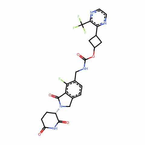 O=C1CC[C@H](N2Cc3ccc(CNC(=O)OC4CC(c5nccnc5C(F)(F)F)C4)c(F)c3C2=O)C(=O)N1